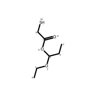 CCOC(CC)OC(=O)CS